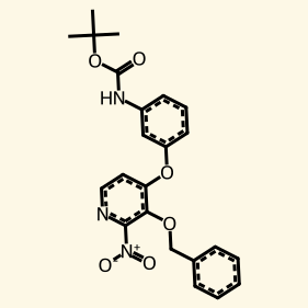 CC(C)(C)OC(=O)Nc1cccc(Oc2ccnc([N+](=O)[O-])c2OCc2ccccc2)c1